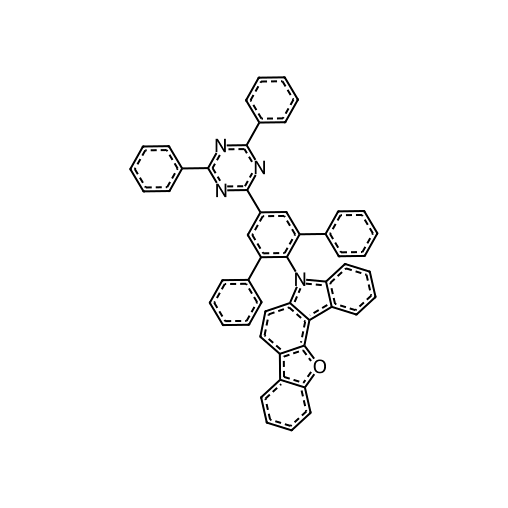 c1ccc(-c2nc(-c3ccccc3)nc(-c3cc(-c4ccccc4)c(-n4c5ccccc5c5c6oc7ccccc7c6ccc54)c(-c4ccccc4)c3)n2)cc1